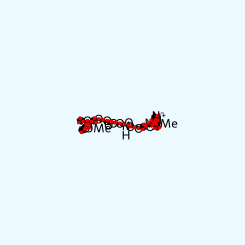 COC(=O)[C@@]1(Cc2ccccc2)N=C(c2ccc(OCCCOC(=O)COCCOCCNC(=O)OCCCOc3ccc(C4=N[C@](Cc5ccccc5)(C(=O)OC)[C@H](c5ccccc5CN=[N+]=[N-])O4)cc3)cc2)O[C@H]1c1ccccc1